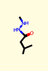 CNNC(=O)CC(C)C